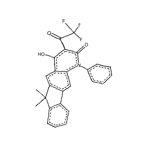 CC1(C)c2ccccc2-c2cc3c(cc21)c(O)c(C(=O)C(F)(F)F)c(=O)n3-c1ccccc1